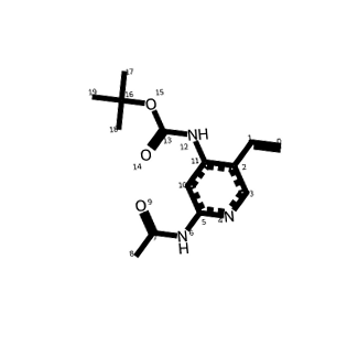 C=Cc1cnc(NC(C)=O)cc1NC(=O)OC(C)(C)C